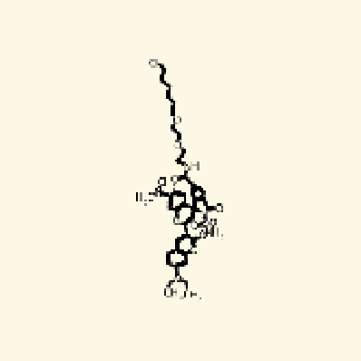 CCN(CC)c1ccc2cc(C3=CC4(c5ccc(N(C)C)cc5O3)c3cc(C(=O)NCCOCCOCCCCCCCl)ccc3C(=O)N4S(N)(=O)=O)c(=O)oc2c1